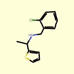 CC(NCc1ccccc1Cl)c1cccs1